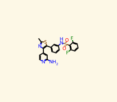 Cc1nc(-c2ccnc(N)c2)c(-c2cccc(NS(=O)(=O)c3c(F)cccc3F)c2)s1